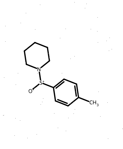 Cc1ccc([S+]([O-])N2CCCCC2)cc1